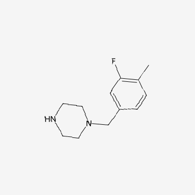 Cc1ccc(CN2CCNCC2)cc1F